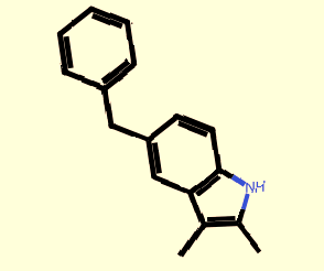 Cc1[nH]c2ccc(Cc3c[c]ccc3)cc2c1C